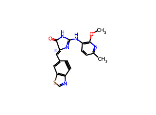 COc1nc(C)ccc1NC1=N/C(=C\c2c#cc3ncsc3c2)C(=O)N1